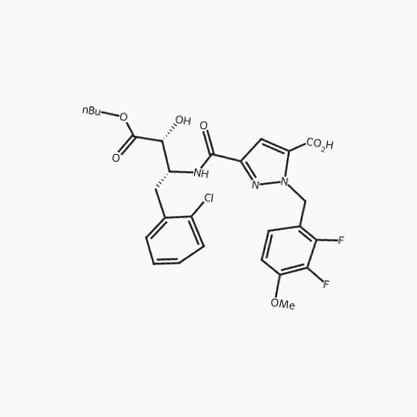 CCCCOC(=O)[C@H](O)[C@@H](Cc1ccccc1Cl)NC(=O)c1cc(C(=O)O)n(Cc2ccc(OC)c(F)c2F)n1